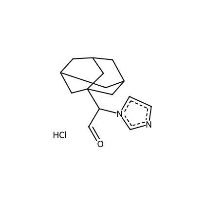 Cl.O=CC(n1ccnc1)C12CC3CC(CC(C3)C1)C2